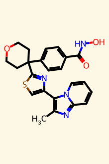 Cc1nc2ccccn2c1-c1csc(C2(c3ccc(C(=O)NO)cc3)CCOCC2)n1